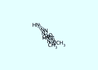 COc1nc(N2CC3CNCC3C2)ncc1C(=O)Nc1cn2cc(C)nc2c(C)n1